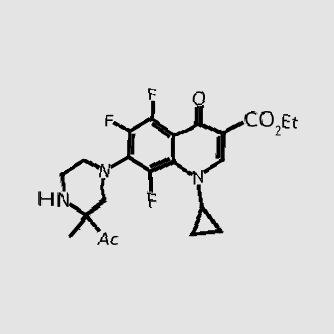 CCOC(=O)c1cn(C2CC2)c2c(F)c(N3CCNC(C)(C(C)=O)C3)c(F)c(F)c2c1=O